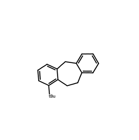 CC(C)(C)c1cccc2c1CCc1ccccc1C2